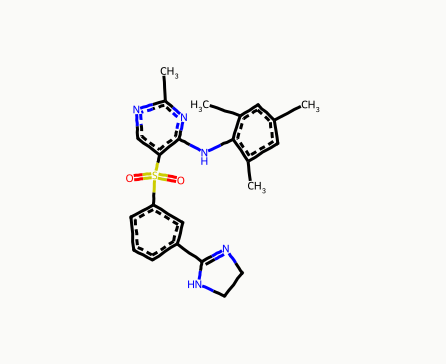 Cc1cc(C)c(Nc2nc(C)ncc2S(=O)(=O)c2cccc(C3=NCCN3)c2)c(C)c1